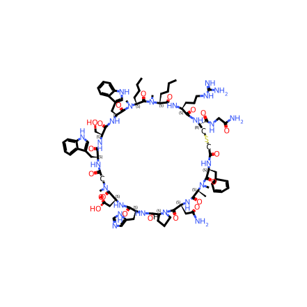 CCCC[C@H]1C(=O)N(C)[C@@H](CCCC)C(=O)N[C@@H](CCCNC(=N)N)C(=O)N[C@H](C(=O)NCC(N)=O)CSCC(=O)N[C@@H](Cc2ccccc2)C(=O)N(C)[C@@H](C)C(=O)N[C@@H](CC(N)=O)C(=O)N2CCC[C@H]2C(=O)N[C@@H](Cc2cnc[nH]2)C(=O)N[C@@H](CC(=O)O)C(=O)N(C)CC(=O)N[C@@H](Cc2c[nH]c3ccccc23)C(=O)N[C@@H](CO)C(=O)N[C@@H](Cc2c[nH]c3ccccc23)C(=O)N1C